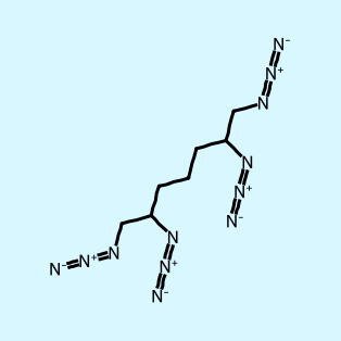 [N-]=[N+]=NCC(CCCC(CN=[N+]=[N-])N=[N+]=[N-])N=[N+]=[N-]